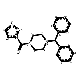 O=C(N1CCN(C(c2ccccc2)c2ccccc2)CC1)n1ccnn1